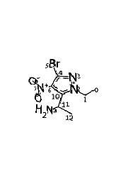 CCn1nc(Br)c([N+](=O)[O-])c1C(C)N